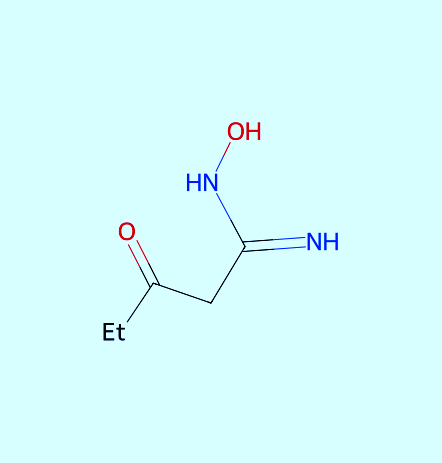 CCC(=O)CC(=N)NO